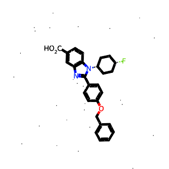 O=C(O)c1ccc2c(c1)nc(-c1ccc(OCc3ccccc3)cc1)n2[C@H]1CC[C@@H](F)CC1